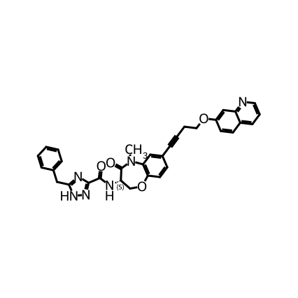 CN1C(=O)[C@@H](NC(=O)c2n[nH]c(Cc3ccccc3)n2)COc2ccc(C#CCCOc3ccc4cccnc4c3)cc21